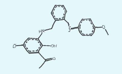 COc1ccc(Sc2ccccc2CNc2cc(Cl)cc(C(C)=O)c2O)cc1